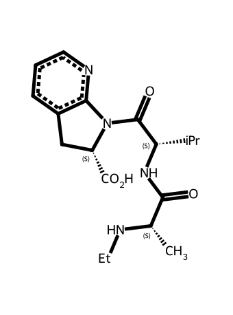 CCN[C@@H](C)C(=O)N[C@H](C(=O)N1c2ncccc2C[C@H]1C(=O)O)C(C)C